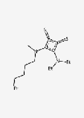 CCN(CC)c1c(N(C)CCCCC(C)C)c(=S)c1=S